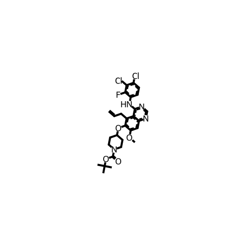 C=CCc1c(OC2CCN(C(=O)OC(C)(C)C)CC2)c(OC)cc2ncnc(Nc3ccc(Cl)c(Cl)c3F)c12